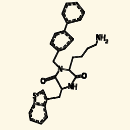 NCCCCC1C(=O)NC(Cc2csc3ccccc23)C(=O)N1Cc1ccc(-c2ccccc2)cc1